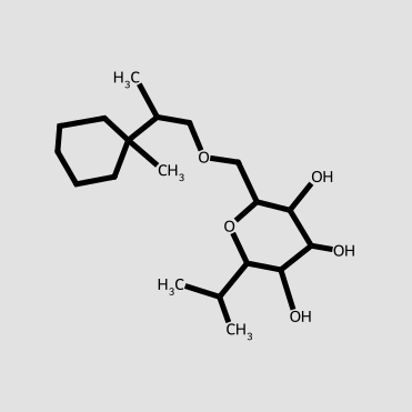 CC(C)C1OC(COCC(C)C2(C)CCCCC2)C(O)C(O)C1O